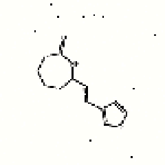 O=C1CCCCC(C=Cc2ccoc2)N1